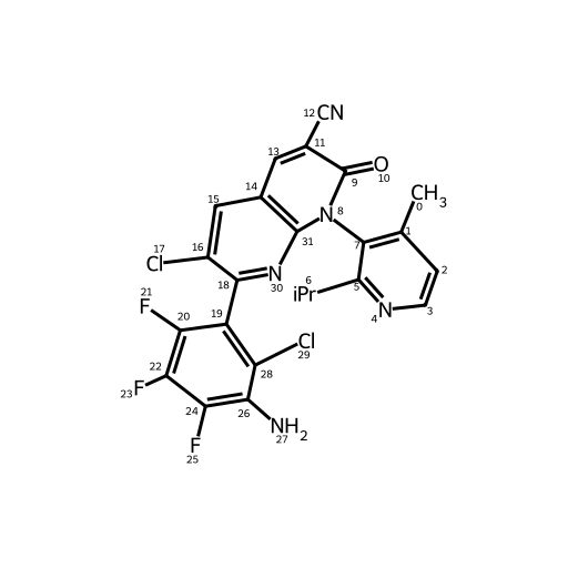 Cc1ccnc(C(C)C)c1-n1c(=O)c(C#N)cc2cc(Cl)c(-c3c(F)c(F)c(F)c(N)c3Cl)nc21